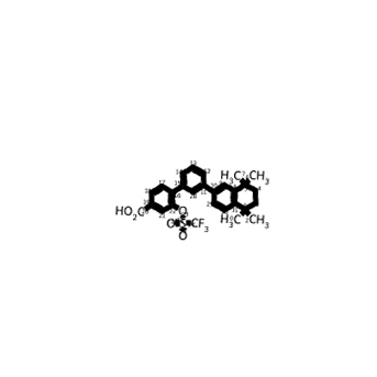 CC1(C)CCC(C)(C)c2cc(-c3cccc(-c4ccc(C(=O)O)cc4OS(=O)(=O)C(F)(F)F)c3)ccc21